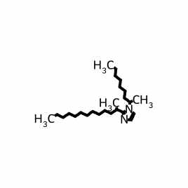 CCCCCCCCCCCC(C)c1nccn1C(C)CCCCCCC